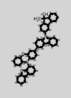 CC1(C)c2ccccc2-c2cc(-n3c4ccccc4c4cc(-c5ccc6c(c5)Oc5ccccc5N6c5cccc6c5oc5ccccc56)ccc43)ccc21